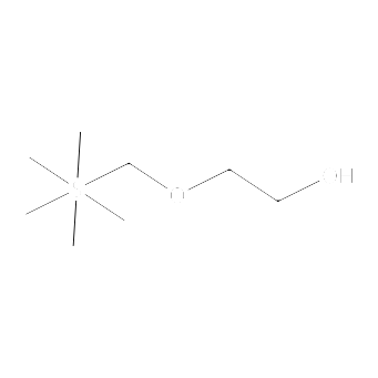 CS(C)(C)(C)(C)COCCO